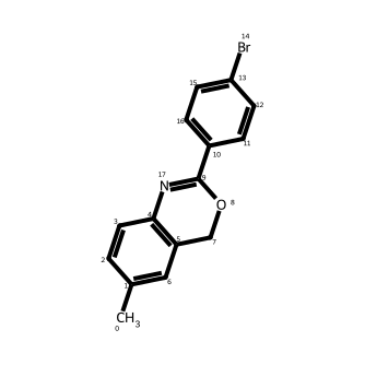 Cc1ccc2c(c1)COC(c1ccc(Br)cc1)=N2